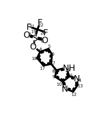 O=S(=O)(Oc1ccc(-c2cc3nccnc3[nH]2)cc1)C(F)(F)F